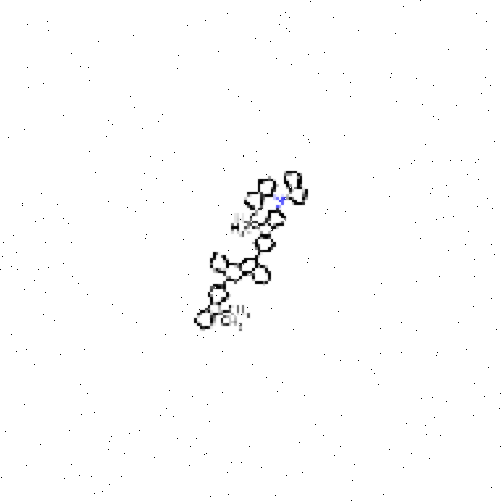 CC1(C)c2ccccc2-c2ccc(-c3cc4c5ccccc5c(-c5ccc6c(c5)C(C)(C)c5cc(N(c7cccc8ccccc78)c7cccc8ccccc78)ccc5-6)cc4c4ccccc34)cc21